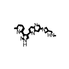 CNCC1CN(c2cnc3ccc(-c4c[nH]nc4-c4cccc(C)n4)nc3c2)C1